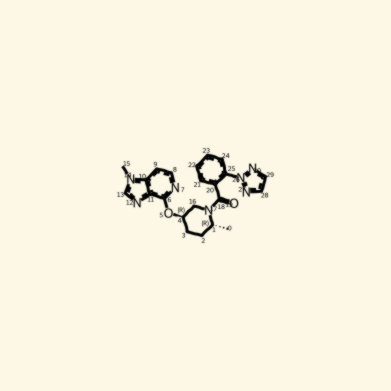 C[C@@H]1CC[C@@H](Oc2nccc3c2ncn3C)CN1C(=O)c1ccccc1-n1nccn1